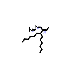 C\C=C(/C=N\C=N/C)C(CCCCCC)CCCCCC